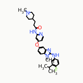 CC(C)c1cc(Nc2nc3cc(Oc4ccnc(NC(=O)CCC5CCN(C)CC5)c4)ccc3n2C)ccc1F